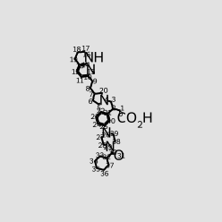 O=C(O)CC(CN1CCC(CCc2ccc3c(n2)NCCC3)C1)c1cccc(N2CCN(C(=O)C3CCCCC3)CC2)c1